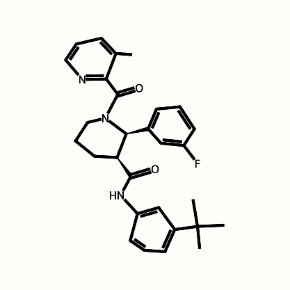 Cc1cccnc1C(=O)N1CCC[C@H](C(=O)Nc2cccc(C(C)(C)C)c2)[C@@H]1c1cccc(F)c1